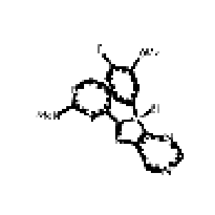 CC[N+]1(c2ccc(F)c(OC)c2)C(c2ccnc(NC)n2)=Nc2cncnc21